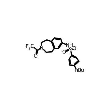 CCCCc1ccc(S(=O)(=O)Nc2ccc3c(c2)CCN(C(=O)C(F)(F)F)CC3)cc1